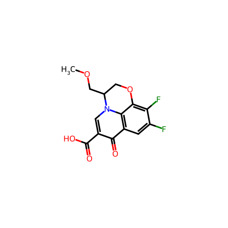 COCC1COc2c(F)c(F)cc3c(=O)c(C(=O)O)cn1c23